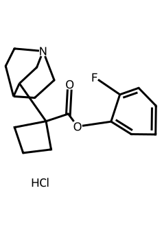 Cl.O=C(Oc1ccccc1F)C1(C2CN3CCC2CC3)CCC1